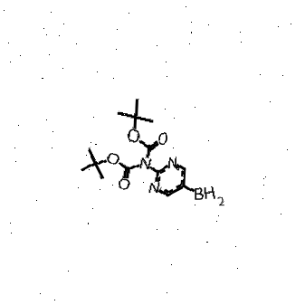 Bc1cnc(N(C(=O)OC(C)(C)C)C(=O)OC(C)(C)C)nc1